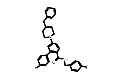 O=C(NCc1ccc(F)cc1)c1ccc(N2CCC(Cc3ccccc3)CC2)cc1-c1ccc(F)cc1